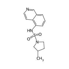 CC1CCN(S(=O)(=O)Nc2cccc3cnccc23)C1